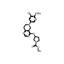 COc1ncc(N2CCc3ncnc(OC4CCN(C(=O)OC(C)(C)C)C4)c3C2)cc1Cl